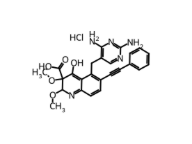 COC1N=c2ccc(C#Cc3ccccc3)c(Cc3cnc(N)nc3N)c2=C(O)C1(OC)C(=O)O.Cl